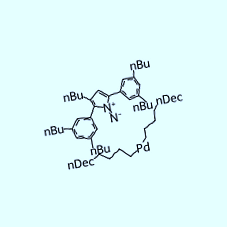 CCCCC1=C(c2cc(CCCC)cc(CCCC)c2)[N+](=[N-])C(c2cc(CCCC)cc(CCCC)c2)=C1.CCCCCCCCCCCCC[CH2][Pd][CH2]CCCCCCCCCCCCC